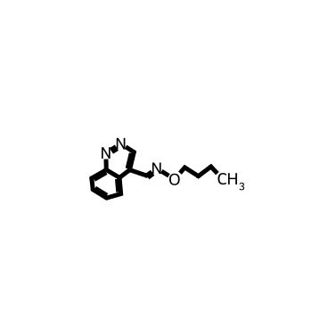 CCCCON=Cc1cnnc2ccccc12